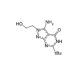 CC(C)(C)c1nc2nn(CCO)c(N)c2c(=O)[nH]1